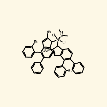 CCc1ccccc1-c1c(-c2ccccc2)ccc2c1C=C(C(C)(C)C)[CH]2[Zr]([Cl])([Cl])([CH]1C(C(C)(C)C)=Cc2c1ccc(-c1ccccc1)c2-c1ccccc1CC)[SiH](C)C